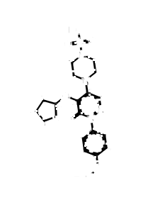 COc1ccc(-n2ncc(N3CCN(S(C)(=O)=O)CC3)c(OC3CCCC3)c2=O)cc1